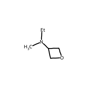 [CH2]CN(C)C1COC1